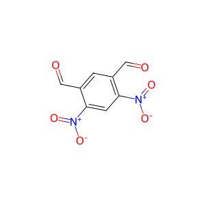 O=Cc1cc(C=O)c([N+](=O)[O-])cc1[N+](=O)[O-]